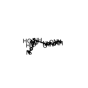 Cc1ncsc1-c1ccc(CNC(=O)[C@@H]2C[C@@H](O)CN2C(=O)[C@@H](NC(=O)CCCCCCNC(=O)c2ccc(C(=O)Nc3ccc4[nH]c(CN5CCC[C@@H]5C)nc4c3)cc2)C(C)(C)C)cc1